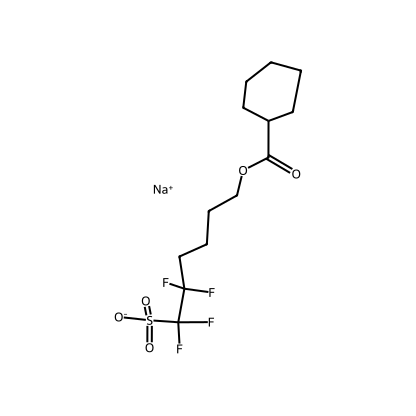 O=C(OCCCCC(F)(F)C(F)(F)S(=O)(=O)[O-])C1CCCCC1.[Na+]